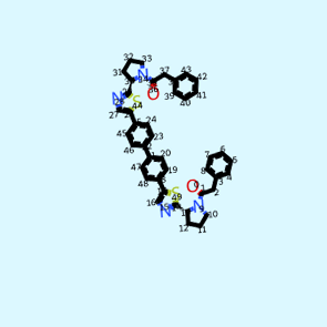 O=C(Cc1ccccc1)N1CCC[C@@H]1c1ncc(-c2ccc(-c3ccc(-c4cnc([C@H]5CCCN5C(=O)Cc5ccccc5)s4)cc3)cc2)s1